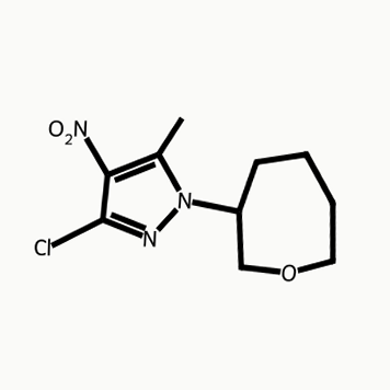 Cc1c([N+](=O)[O-])c(Cl)nn1C1CCCCOC1